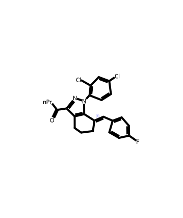 CCCC(=O)c1nn(-c2ccc(Cl)cc2Cl)c2c1CCC/C2=C\c1ccc(F)cc1